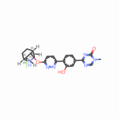 Cn1cnc(-c2ccc(-c3ccc(O[C@H]4[C@@H]5CC[C@@H](NC5)[C@H]4F)nn3)c(O)c2)nc1=O